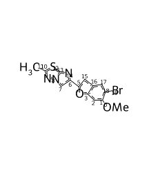 COc1cc2oc(-c3cn4nc(C)sc4n3)cc2cc1Br